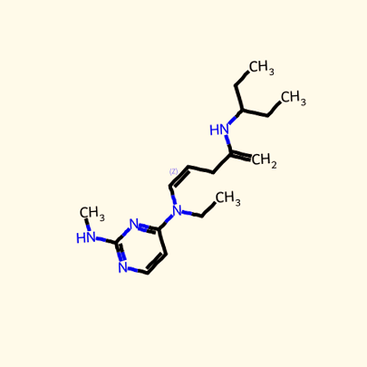 C=C(C/C=C\N(CC)c1ccnc(NC)n1)NC(CC)CC